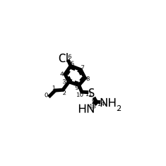 CCCc1cc(Cl)ccc1CSC(=N)N